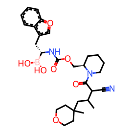 CC(CC1(C)CCOCC1)C(C#N)C(=O)N1CCCC[C@@H]1COC(=O)N[C@@H](Cc1coc2ccccc12)B(O)O